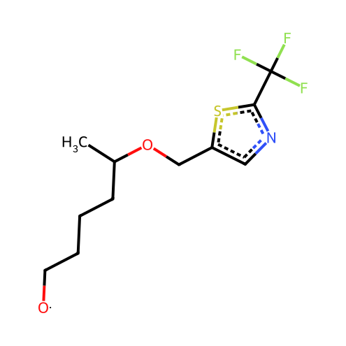 CC(CCCC[O])OCc1cnc(C(F)(F)F)s1